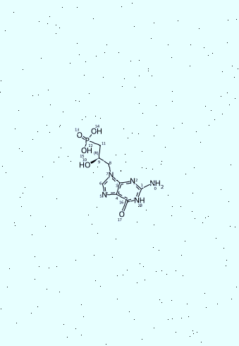 Nc1nc2c(ncn2C[C@@H](O)CP(=O)(O)O)c(=O)[nH]1